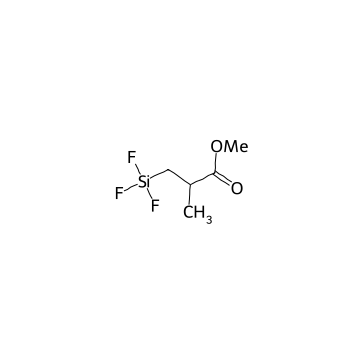 COC(=O)C(C)C[Si](F)(F)F